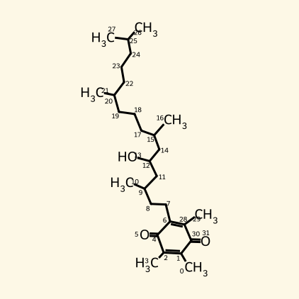 CC1=C(C)C(=O)C(CCC(C)CC(O)CC(C)CCCC(C)CCCC(C)C)=C(C)C1=O